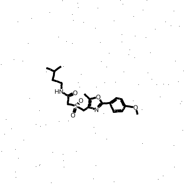 COc1ccc(-c2nc(CS(=O)(=O)CC(=O)NCCC(C)C)c(C)o2)cc1